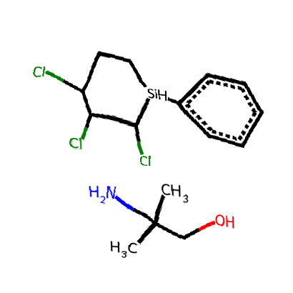 CC(C)(N)CO.ClC1CC[SiH](c2ccccc2)C(Cl)C1Cl